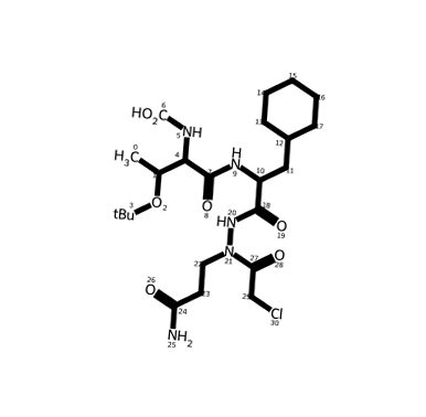 CC(OC(C)(C)C)C(NC(=O)O)C(=O)NC(CC1CCCCC1)C(=O)NN(CCC(N)=O)C(=O)CCl